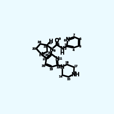 O=C(Nc1ccccn1)N1c2nc(N3CCNCC3)ccc2N2CC[C@H]1C2